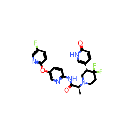 C[C@@H](C(=O)Nc1ccc(Oc2ccc(F)cn2)cn1)N1CCC(F)(F)[C@@H](c2ccc(=O)[nH]c2)C1